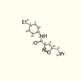 CCc1ccc(NC(=O)c2cc(CC(C)C)on2)cc1